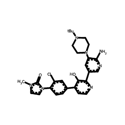 Cn1ccn(-c2ccc(-c3ccnc(-c4cnc(N)c(N5CCN(C(C)(C)C)CC5)c4)c3O)cc2Cl)c1=O